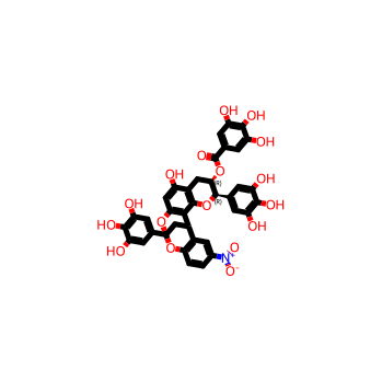 O=C(O[C@@H]1Cc2c(O)cc3c(c2O[C@@H]1c1cc(O)c(O)c(O)c1)C1CC(c2cc(O)c(O)c(O)c2)(Oc2ccc([N+](=O)[O-])cc21)O3)c1cc(O)c(O)c(O)c1